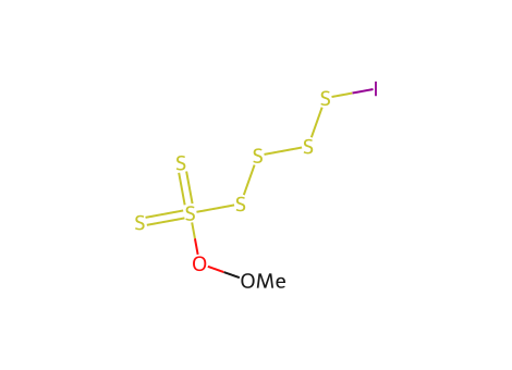 COOS(=S)(=S)SSSSI